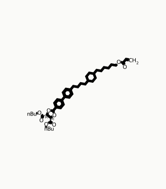 C=CC(=O)OCCCCCCC1CCC(CCCCc2ccc(-c3ccc(C4O[C@@H](C(=O)OCCCC)[C@H](C(=O)OCCCC)O4)cc3)cc2)CC1